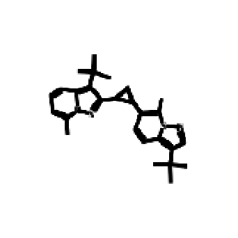 Cc1cccc2c(C(C)(C)C)c(C3CC3c3ccc4c(C(C)(C)C)cnn4c3C)nn12